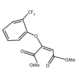 COC(=O)/C=C(/Oc1ccccc1C(F)(F)F)C(=O)OC